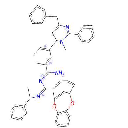 C\C=C(/C=C(C)/C(N)=N/C(=N\C(C)c1ccccc1)C1=CC=CC2C=C1Oc1ccccc1O2)C1C=C(Cc2ccccc2)N=C(c2c#cccc2)N1C